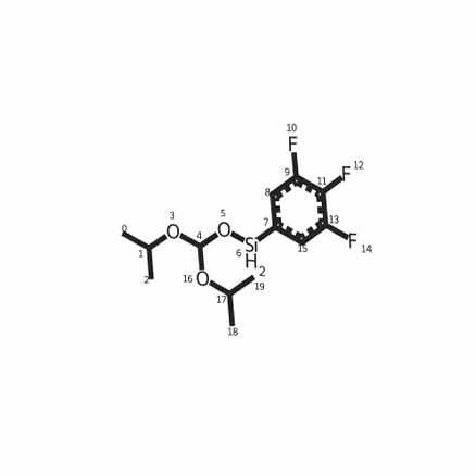 CC(C)OC(O[SiH2]c1cc(F)c(F)c(F)c1)OC(C)C